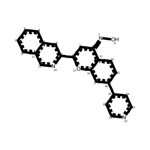 O/N=c1/cc(-c2cc3ccccc3cn2)oc2cc(-c3ccncc3)ccc12